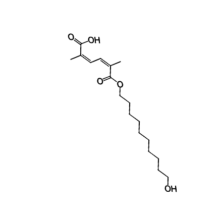 CC(=CC=C(C)C(=O)OCCCCCCCCCCO)C(=O)O